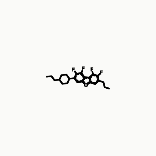 CCCc1cc2oc3cc(C4CCC(CCC)CC4)c(F)c(F)c3c2c(F)c1F